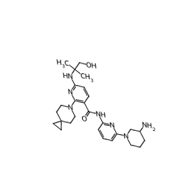 CC(C)(CO)Nc1ccc(C(=O)Nc2cccc(N3CCCC(N)C3)n2)c(N2CCC3(CC2)CC3)n1